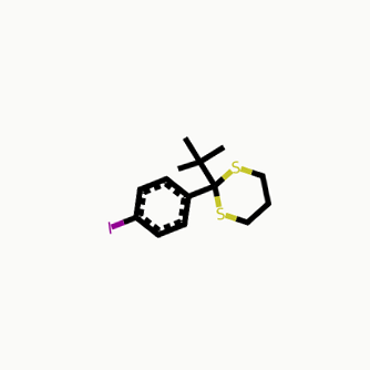 CC(C)(C)C1(c2ccc(I)cc2)SCCCS1